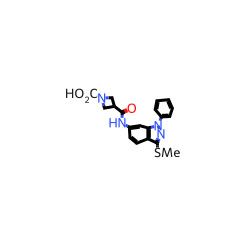 CSc1nn(-c2ccccc2)c2cc(NC(=O)C3CN(C(=O)O)C3)ccc12